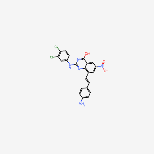 Nc1ccc(C=Cc2cc([N+](=O)[O-])cc3c(O)nc(Nc4ccc(Cl)c(Cl)c4)nc23)cc1